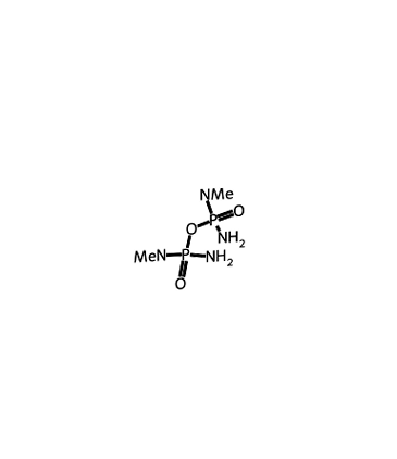 CNP(N)(=O)OP(N)(=O)NC